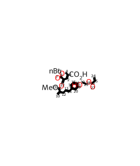 C=C(C=C(C)C(=O)O)C(=O)OCCCC.C=C(CC=Cc1ccccc1)C(=O)OC.C=CC(=O)OCCO